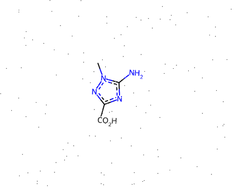 Cn1nc(C(=O)O)nc1N